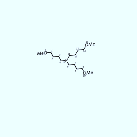 COCCCCP(CCCCOC)CCCCOC